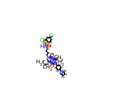 CC(C)C[C@H](CN(CCCCNS(=O)(=O)c1ccc(Cl)cc1Cl)C(=O)NC(C)C)NC(=O)Nc1ccc(-n2cccc2)cc1